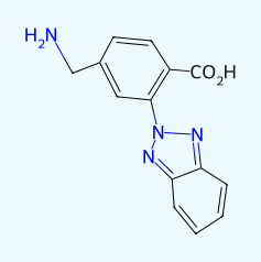 NCc1ccc(C(=O)O)c(-n2nc3ccccc3n2)c1